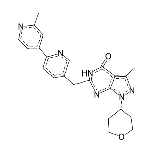 Cc1cc(-c2ccc(Cc3nc4c(c(C)nn4C4CCOCC4)c(=O)[nH]3)cn2)ccn1